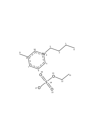 CCCC[n+]1cccc(C)c1.CCOS(=O)(=O)[O-]